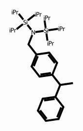 CC(c1ccccc1)c1ccc(CN([Si](C(C)C)(C(C)C)C(C)C)[Si](C(C)C)(C(C)C)C(C)C)cc1